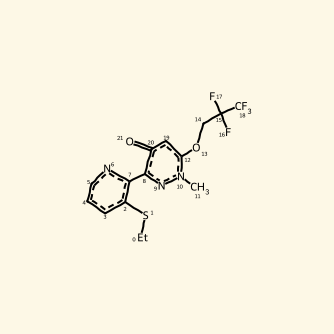 CCSc1cccnc1-c1nn(C)c(OCC(F)(F)C(F)(F)F)cc1=O